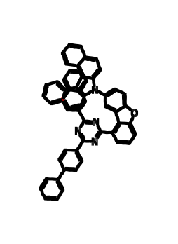 c1ccc(-c2ccc(-c3nc(-c4ccc5ccccc5c4)nc(-c4cccc5oc6ccc(-n7c8ccc9ccccc9c8c8c9ccccc9ccc87)cc6c45)n3)cc2)cc1